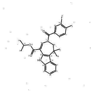 Cc1ccc(C(=O)N2C=C(C(=O)OC(C)C)c3[nH]c4ccccc4c3C(C)(C)C2)cc1F